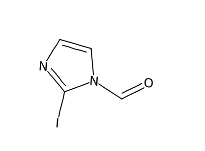 O=Cn1ccnc1I